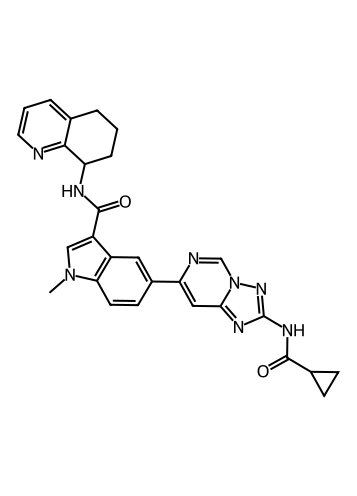 Cn1cc(C(=O)NC2CCCc3cccnc32)c2cc(-c3cc4nc(NC(=O)C5CC5)nn4cn3)ccc21